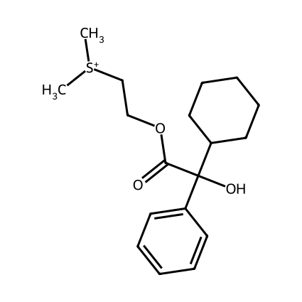 C[S+](C)CCOC(=O)C(O)(c1ccccc1)C1CCCCC1